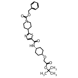 CC(C)(C)OC(=O)CO[C@H]1CC[C@H](NC(=O)c2cnc(C3CCN(C(=O)OCc4ccccc4)CC3)s2)CC1